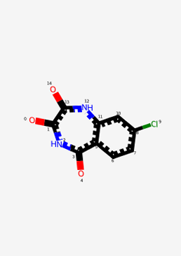 O=c1[nH]c(=O)c2ccc(Cl)cc2[nH]c1=O